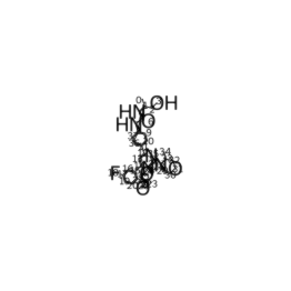 C[C@@H](CO)NC(=O)Nc1ccc(-c2cc(-c3cc(F)ccc3S(C)(=O)=O)nc(N3CCOC[C@@H]3C)n2)cc1